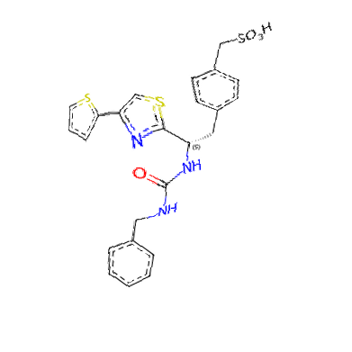 O=C(NCc1ccccc1)N[C@@H](Cc1ccc(CS(=O)(=O)O)cc1)c1nc(-c2cccs2)cs1